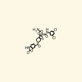 NC(=O)Oc1c(NC(=O)Nc2cc(Cl)cc(Cl)c2)sc2c1CCN(C(=O)c1ccc3[nH]c(=O)oc3c1)C2